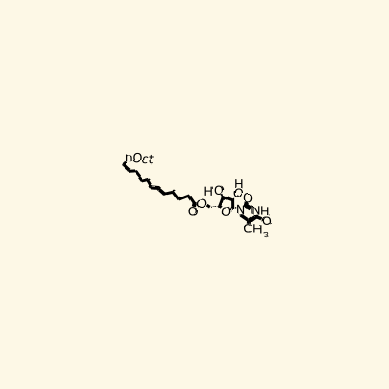 CCCCCCCC/C=C\CCCCCCCCCC(=O)OC[C@H]1O[C@@H](n2cc(C)c(=O)[nH]c2=O)[C@@H](O)[C@@H]1O